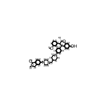 COc1cccc(C2C(c3ccc(N4CCC(CN5CCN(c6ccc7c(c6)CN(C)C7=O)CC5)CC4)cc3)c3ccc(O)cc3O[C@H]2C)c1